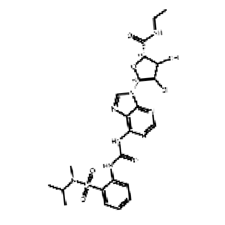 CCNC(=O)[C@H]1O[C@@H](n2cnc3c(NC(=O)Nc4ccccc4S(=O)(=O)N(C)C(C)C)ncnc32)C(O)C1O